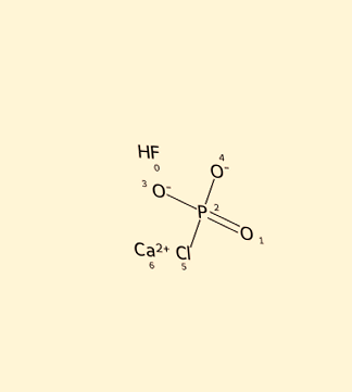 F.O=P([O-])([O-])Cl.[Ca+2]